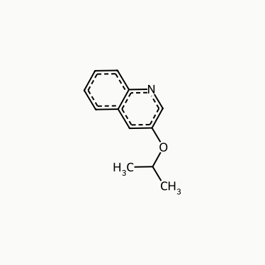 CC(C)Oc1cnc2ccccc2c1